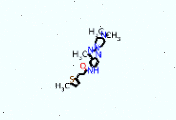 Cc1ccc(CCC(=O)Nc2ccc3nc(N4CCC(N(C)C)CC4)nc(C)c3c2)s1